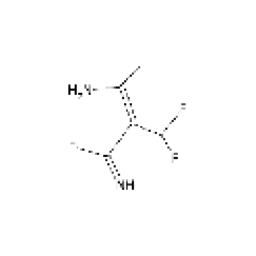 C/C(N)=C(/C(=N)F)C(F)F